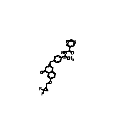 C[C@H](NC(=O)c1cncnc1)c1ccc(CN2CC(=O)c3cc(OCC4CC4(F)F)ccc3C2)cc1